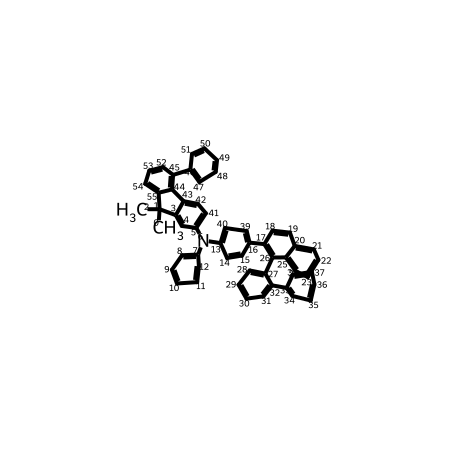 CC1(C)c2cc(N(c3ccccc3)c3ccc(-c4ccc5ccccc5c4-c4ccccc4-c4ccccc4)cc3)ccc2-c2c(-c3ccccc3)cccc21